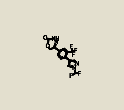 O=C1NN=C(c2ccc(-c3cnn(C(F)F)c3)c(C(F)(F)F)c2)CO1